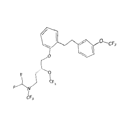 FC(F)N(CC[C@H](COc1ccccc1CCc1cccc(OC(F)(F)F)c1)OC(F)(F)F)C(F)(F)F